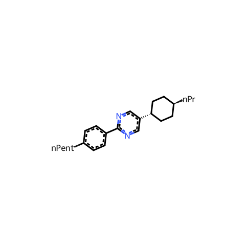 CCCCCc1ccc(-c2ncc([C@H]3CC[C@H](CCC)CC3)cn2)cc1